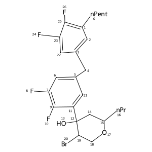 CCCCCc1cc(Cc2cc(F)c(F)c(C3(O)CC(CCC)OCC3Br)c2)cc(F)c1F